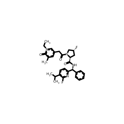 CCn1cc(CC(=O)N2C[C@H](F)C[C@H]2C(=O)N[C@@H](c2ccccc2)c2ccc(C(C)C)c(F)n2)cc(C)c1=O